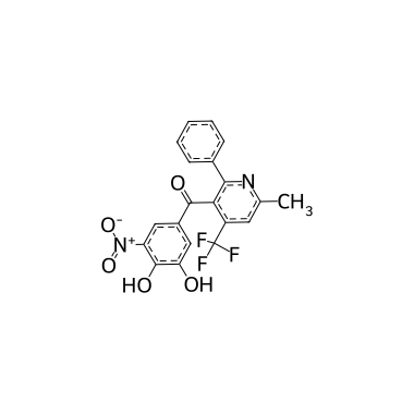 Cc1cc(C(F)(F)F)c(C(=O)c2cc(O)c(O)c([N+](=O)[O-])c2)c(-c2ccccc2)n1